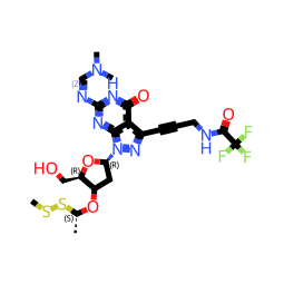 CSS[C@@H](C)OC1C[C@H](n2nc(C#CCNC(=O)C(F)(F)F)c3c(=O)[nH]c(/N=C\N(C)C)nc32)O[C@@H]1CO